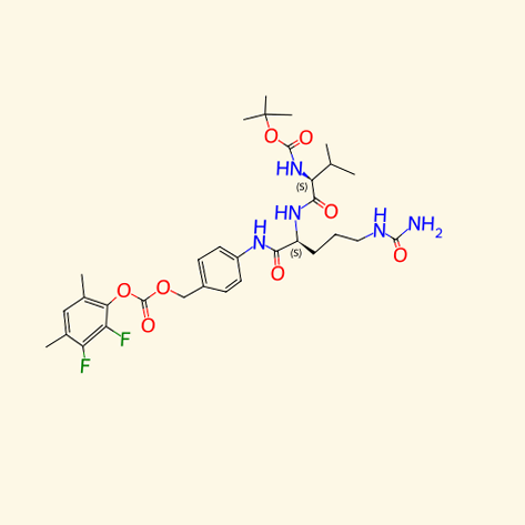 Cc1cc(C)c(OC(=O)OCc2ccc(NC(=O)[C@H](CCCNC(N)=O)NC(=O)[C@@H](NC(=O)OC(C)(C)C)C(C)C)cc2)c(F)c1F